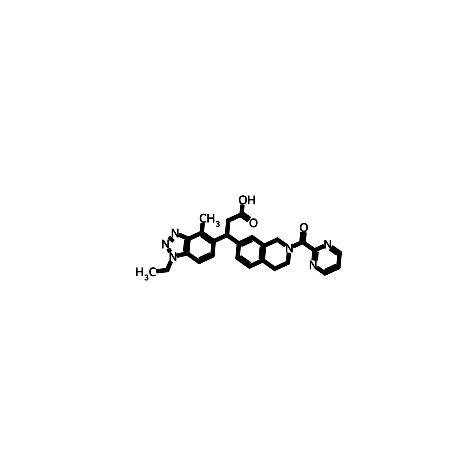 CCn1nnc2c(C)c(C(CC(=O)O)c3ccc4c(c3)CN(C(=O)c3ncccn3)CC4)ccc21